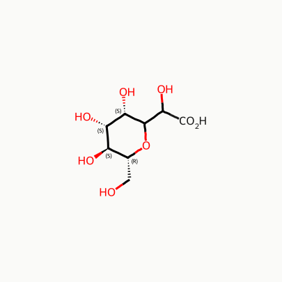 O=C(O)C(O)C1O[C@H](CO)[C@@H](O)[C@H](O)[C@@H]1O